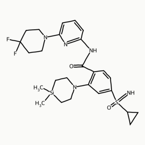 C[Si]1(C)CCN(c2cc(S(=N)(=O)C3CC3)ccc2C(=O)Nc2cccc(N3CCC(F)(F)CC3)n2)CC1